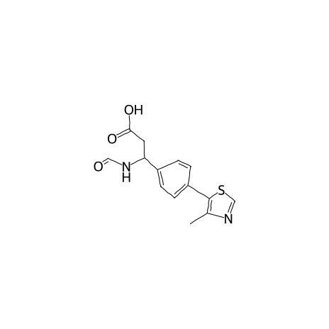 Cc1ncsc1-c1ccc(C(CC(=O)O)NC=O)cc1